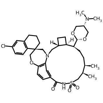 C[C@@H]1CC[C@H]([C@H]2OC[C@@H](N(C)C)CO2)[C@@H]2CC[C@H]2CN2C[C@@]3(CCCc4cc(Cl)ccc43)COc3ccc(cc32)C(=O)NS(=O)(=O)C[C@@H]1C